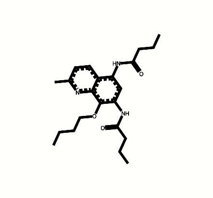 CCCCOc1c(NC(=O)CCC)cc(NC(=O)CCC)c2ccc(C)nc12